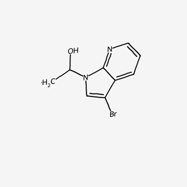 [CH2]C(O)n1cc(Br)c2cccnc21